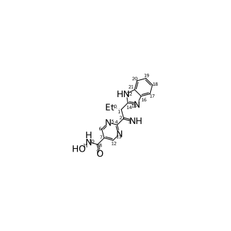 CC[C@@H](C(=N)c1ncc(C(=O)NO)cn1)c1nc2ccccc2[nH]1